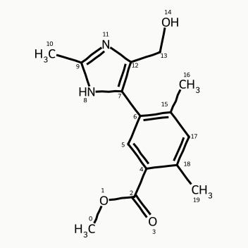 COC(=O)c1cc(-c2[nH]c(C)nc2CO)c(C)cc1C